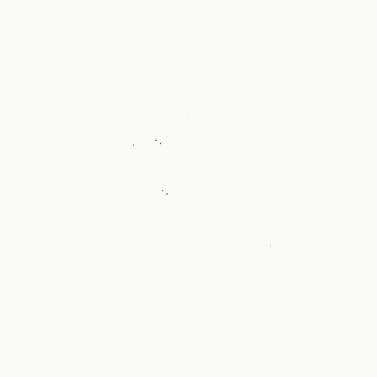 Cc1cc(=O)n(C)c(=O)n1-c1cccc(C(F)(F)F)c1